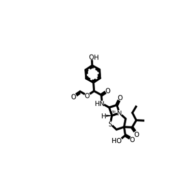 CCC(C)C(=O)C1(C(=O)O)CS[C@@H]2C(NC(=O)C(OC=O)c3ccc(O)cc3)C(=O)N2C1